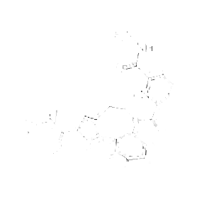 NNC(=O)c1cccc(C(=O)N2CCc3cc(C(=O)NC4CC4)sc3-c3ccccc32)n1